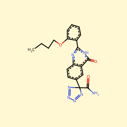 CCCCOc1ccccc1-c1nc2ccc(C3(C(N)=O)N=NN=N3)cc2c(=O)[nH]1